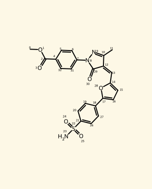 COC(=O)c1ccc(N2N=C(C)C(=Cc3ccc(-c4ccc(S(N)(=O)=O)cc4)o3)C2=O)cc1